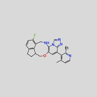 CCc1nccc(C)c1-c1cc2c(n3cnnc13)NCc1c(F)ccc3c1C(CC3)CO2